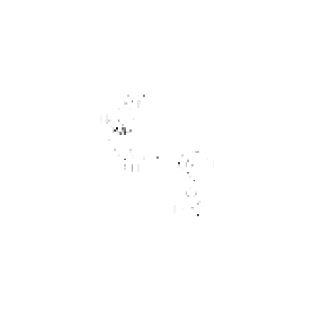 CNC(=O)c1c(F)cccc1Nc1nc(Nc2cc3c(cc2OC)CCN3C(=O)CN(C)C(=O)CCOCCOCCC(=O)N[C@H](C(=O)N2C[C@H](O)C[C@H]2C(=O)NCc2ccc(-c3scnc3C)cc2)C(C)(C)C)nc2[nH]ccc12